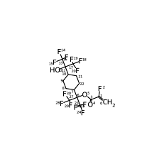 C=C(F)C(=O)OC(C1CCC(C(O)(C(F)(F)F)C(F)(F)F)CC1)(C(F)(F)F)C(F)(F)F